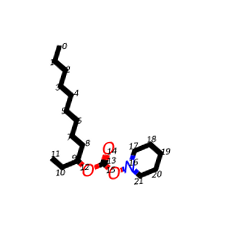 CCCCCCCCCC(CC)OC(=O)ON1CCCCC1